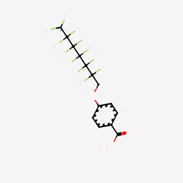 O=C(O)c1ccc(OCC(F)(F)C(F)(F)C(F)(F)C(F)(F)C(F)(F)C(F)F)cc1